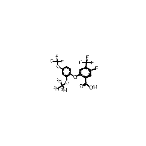 [2H]C([2H])([2H])Oc1cc(OC(F)(F)F)ccc1Oc1cc(C(F)(F)F)c(F)cc1C(=O)O